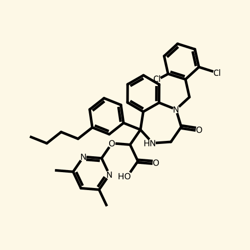 CCCCc1cccc(C2(C(Oc3nc(C)cc(C)n3)C(=O)O)NCC(=O)N(Cc3c(Cl)cccc3Cl)c3ccccc32)c1